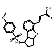 COc1ccc(S(=O)(=O)NC2CCC3Oc4c(/C=C/C(=O)O)cccc4C23)cc1